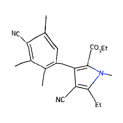 CCOC(=O)c1c(-c2cc(C)c(C#N)c(C)c2C)c(C#N)c(CC)n1C